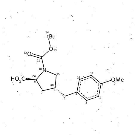 COc1ccc(C[C@@H]2C[C@@H](C(=O)O)N(C(=O)OC(C)(C)C)C2)cc1